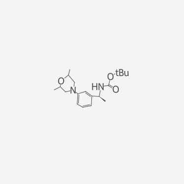 CC1CN(c2cccc([C@H](C)NC(=O)OC(C)(C)C)c2)CC(C)O1